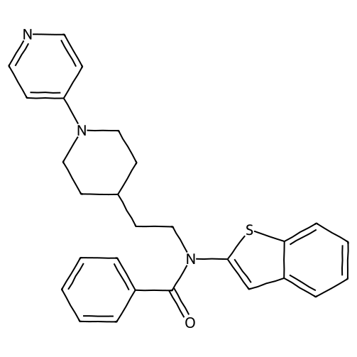 O=C(c1ccccc1)N(CCC1CCN(c2ccncc2)CC1)c1cc2ccccc2s1